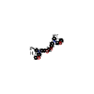 Cc1c(N(c2ccc(C(C)C)cc2)c2ccc3cc4c(cc3c2)oc2cc3oc5cc6cc(N(c7ccc(C(C)C)cc7)c7ccc8oc9ccccc9c8c7C)ccc6cc5c3cc24)ccc2oc3ccccc3c12